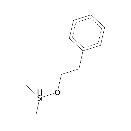 C[SiH](C)OCCc1ccccc1